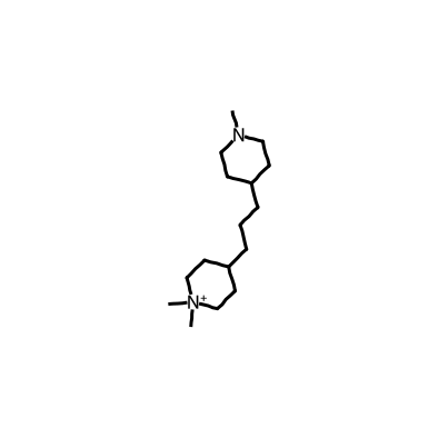 CN1CCC(CCCC2CC[N+](C)(C)CC2)CC1